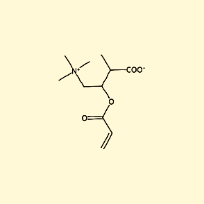 C=CC(=O)OC(C[N+](C)(C)C)C(C)C(=O)[O-]